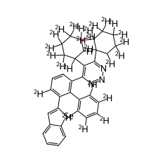 [2H]c1ccc(-c2nnnc(C3([2H])C([2H])C([2H])([2H])C([2H])([2H])C([2H])([2H])C3([2H])[2H])c2C2([2H])C([2H])C([2H])([2H])C([2H])([2H])C([2H])([2H])C2([2H])[2H])c(-c2c([2H])c([2H])c([2H])c([2H])c2[2H])c1-c1cc2ccccc2[se]1